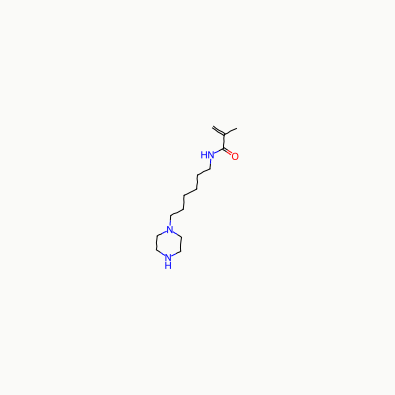 C=C(C)C(=O)NCCCCCCN1CCNCC1